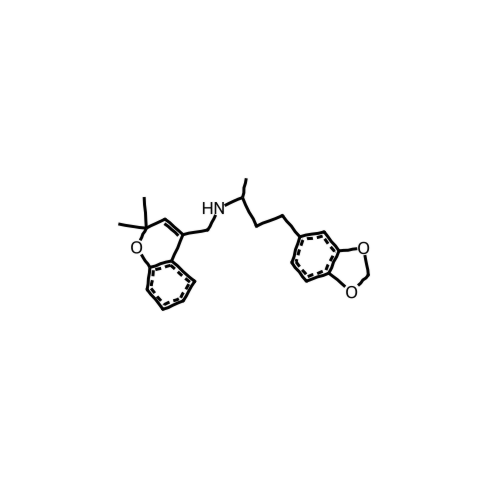 CC(CCc1ccc2c(c1)OCO2)NCC1=CC(C)(C)Oc2ccccc21